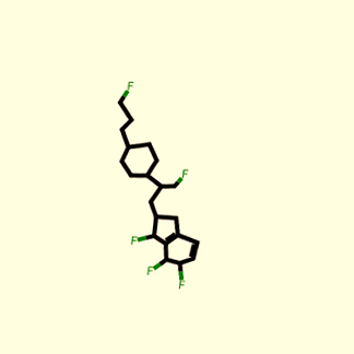 FCCCC1CCC(C(CF)CC2CC3=C(C(F)C(F)C=C3)C2F)CC1